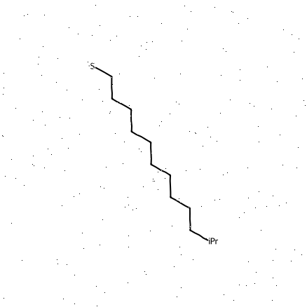 CC(C)CCCCCCCCCC[S]